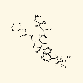 CCOC(C)(C)C(=O)Nc1ncnn2c([C@]3(C#N)O[C@H](COC(=O)CC4CCCCCC4)[C@@H](OC(=O)[C@@H](NC(=O)OC(C)(C)C)C(C)C)[C@H]3O)ccc12